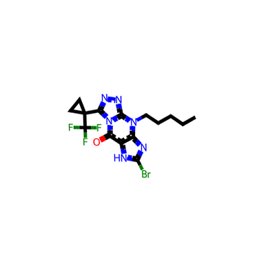 CCCCCn1c2nc(Br)[nH]c2c(=O)n2c(C3(C(F)(F)F)CC3)nnc12